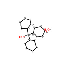 O.[OH][Sn]([CH]1CCCCC1)([CH]1CCCCC1)[CH]1CCCCC1